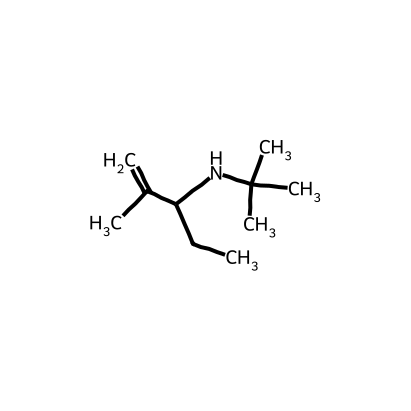 C=C(C)C(CC)NC(C)(C)C